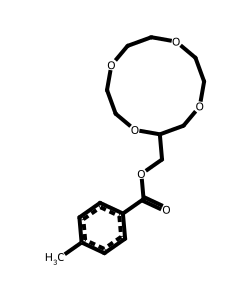 Cc1ccc(C(=O)OCC2COCCOCCOCCO2)cc1